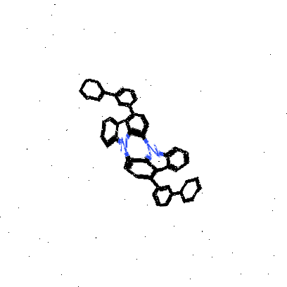 C1=C(c2cccc(C3CCCCC3)c2)C2c3ccccc3N3c4ccc(-c5cccc(C6CCCCC6)c5)c5c6ccccc6n(c45)C(=C1)C23